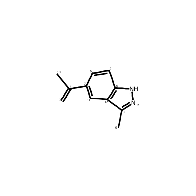 [CH2]c1n[nH]c2ccc(C(=C)C)cc12